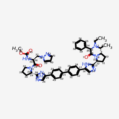 CCN(CC)[C@@H](C(=O)N1CCC[C@H]1c1ncc(-c2ccc(-c3ccc(-c4cnc([C@@H]5CCCN5C(=O)[C@H](Cn5cccn5)NC(=O)OC)[nH]4)cc3)cc2)[nH]1)c1ccccc1